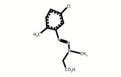 Cc1ccc(Cl)cc1/N=N/N(C)CC(=O)O